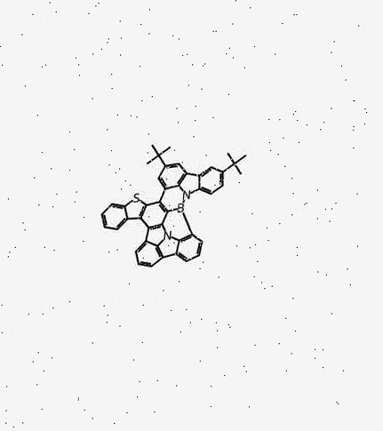 CC(C)(C)c1ccc2c(c1)c1cc(C(C)(C)C)cc3c1n2B1c2cccc4c5cccc6c7c8c(sc9ccccc98)c-3c1c7n(c24)c56